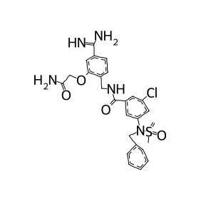 C=S(C)(=O)N(Cc1ccccc1)c1cc(Cl)cc(C(=O)NCc2ccc(C(=N)N)cc2OCC(N)=O)c1